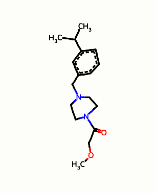 COCC(=O)N1CCN(Cc2cccc(C(C)C)c2)CC1